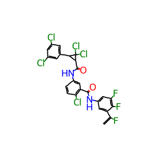 C=C(F)c1cc(NC(=O)c2cc(NC(=O)C3C(c4cc(Cl)cc(Cl)c4)C3(Cl)Cl)ccc2Cl)cc(F)c1F